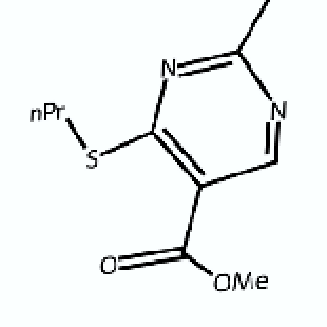 CCCSc1nc(C)ncc1C(=O)OC